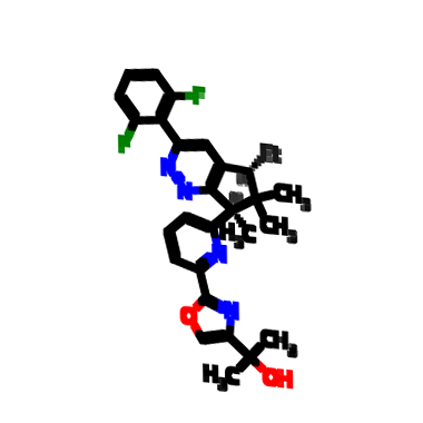 CC[C@H]1c2cc(-c3c(F)cccc3F)nnc2[C@](C)(c2cccc(-c3nc(C(C)(C)O)co3)n2)C1(C)C